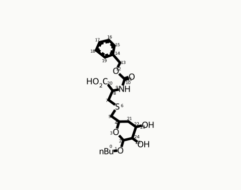 CCCCOC1OC(CSCC(NC(=O)OCc2ccccc2)C(=O)O)CC(O)C1O